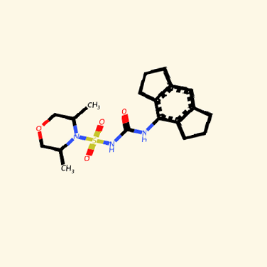 CC1COCC(C)N1S(=O)(=O)NC(=O)Nc1c2c(cc3c1CCC3)CCC2